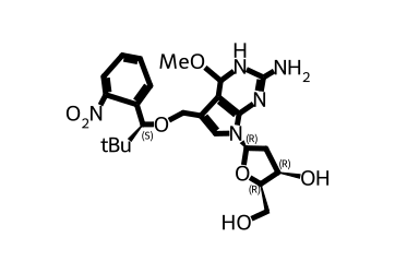 COC1NC(N)=Nc2c1c(CO[C@H](c1ccccc1[N+](=O)[O-])C(C)(C)C)cn2[C@H]1C[C@@H](O)[C@@H](CO)O1